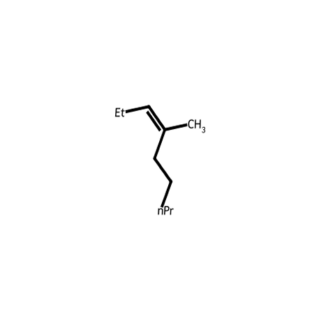 CCC=C(C)CCCCC